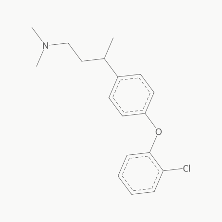 CC(CCN(C)C)c1ccc(Oc2ccccc2Cl)cc1